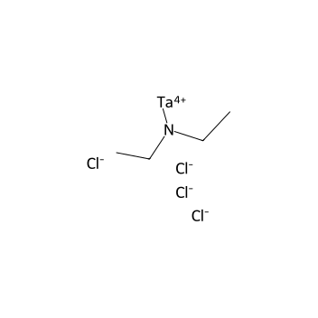 CC[N]([Ta+4])CC.[Cl-].[Cl-].[Cl-].[Cl-]